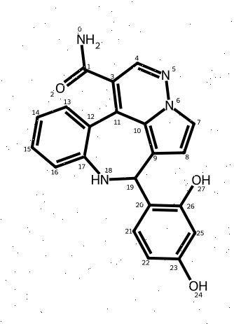 NC(=O)c1cnn2ccc3c2c1-c1ccccc1NC3c1ccc(O)cc1O